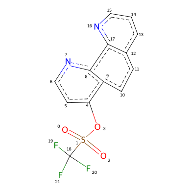 O=S(=O)(Oc1ccnc2c1ccc1cccnc12)C(F)(F)F